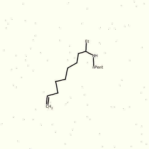 C=CCCCCCCC(CC)NCCCCC